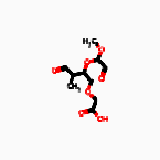 COC(C=O)OC(COCC(=O)O)C(C)C=O